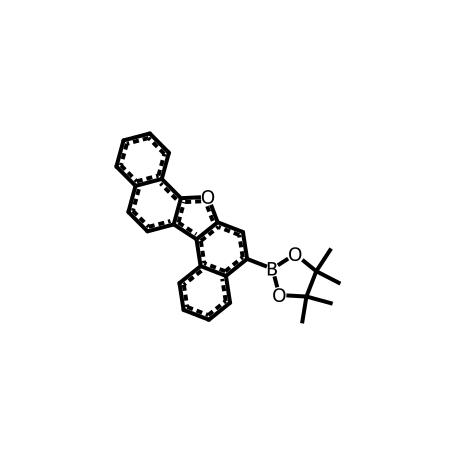 CC1(C)OB(c2cc3oc4c5ccccc5ccc4c3c3ccccc23)OC1(C)C